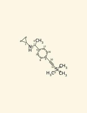 CC(NC1CC1)c1ccc(C#C[Si](C)(C)C)cc1